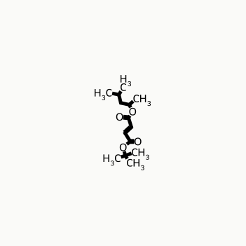 CC(C)CC(C)OC(=O)/C=C/C(=O)OC(C)(C)C